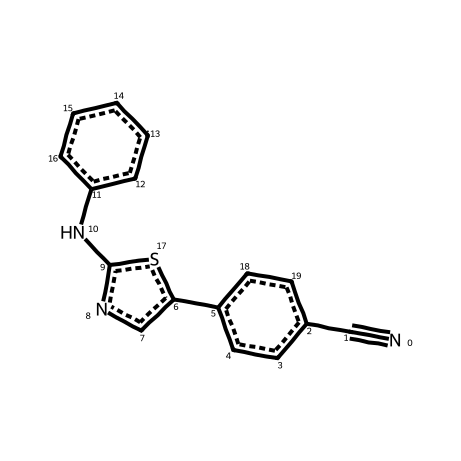 N#Cc1ccc(-c2cnc(Nc3c[c]ccc3)s2)cc1